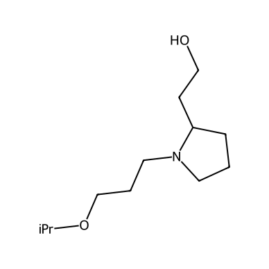 CC(C)OCCCN1CCCC1CCO